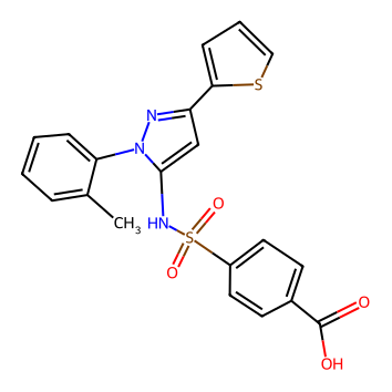 Cc1ccccc1-n1nc(-c2cccs2)cc1NS(=O)(=O)c1ccc(C(=O)O)cc1